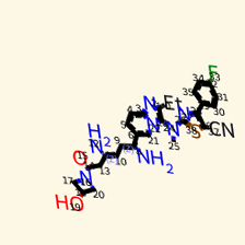 CCc1nc2ccc(/C(N)=C/C=C(\N)CC(=O)N3CC(O)C3)cn2c1N(C)c1nc(-c2ccc(F)cc2)c(C#N)s1